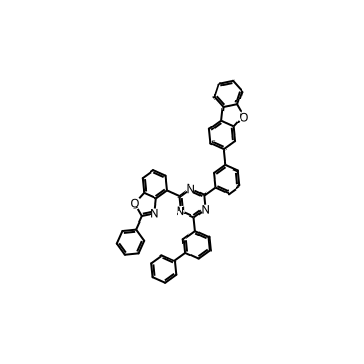 c1ccc(-c2cccc(-c3nc(-c4cccc(-c5ccc6c(c5)oc5ccccc56)c4)nc(-c4cccc5oc(-c6ccccc6)nc45)n3)c2)cc1